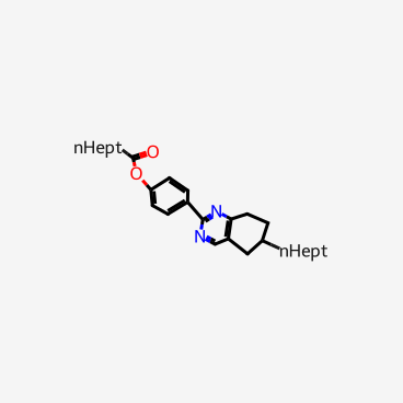 CCCCCCCC(=O)Oc1ccc(-c2ncc3c(n2)CCC(CCCCCCC)C3)cc1